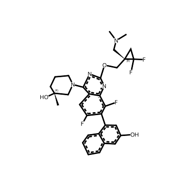 CN(C)C[C@@]1(COc2nc(N3CCC[C@@](C)(O)C3)c3cc(F)c(-c4cc(O)cc5ccccc45)c(F)c3n2)CC1(F)F